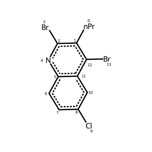 CCCc1c(Br)nc2ccc(Cl)cc2c1Br